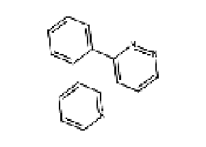 c1ccc(-c2cccnn2)cc1.c1ccncc1